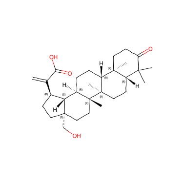 C=C(C(=O)O)[C@@H]1CC[C@]2(CO)CC[C@]3(C)[C@H](CC[C@@H]4[C@@]5(C)CCC(=O)C(C)(C)[C@@H]5CC[C@]43C)[C@@H]12